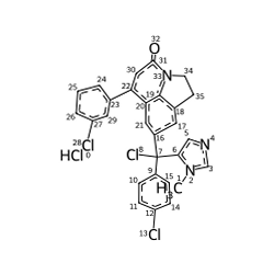 Cl.Cn1cncc1C(Cl)(c1ccc(Cl)cc1)c1cc2c3c(c1)c(-c1cccc(Cl)c1)cc(=O)n3CC2